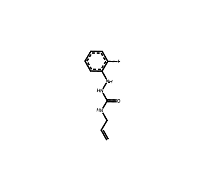 C=CCNC(=O)NNc1ccccc1F